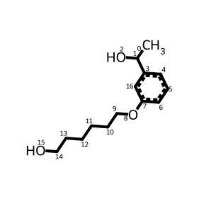 CC(O)c1cccc(OCCCCCCO)c1